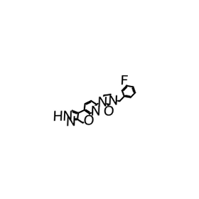 O=C1N(Cc2cccc(F)c2)CCN1c1ccc2c(n1)OCc1n[nH]cc1-2